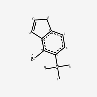 C[Si](C)(C)c1ccc2c(c1Br)C=CC2